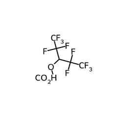 O=C(O)OC(C(F)(F)C(F)(F)F)C(F)(F)C(F)(F)F